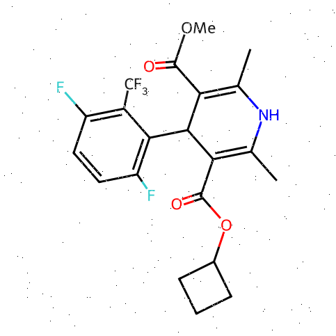 COC(=O)C1=C(C)NC(C)=C(C(=O)OC2CCC2)C1c1c(F)ccc(F)c1C(F)(F)F